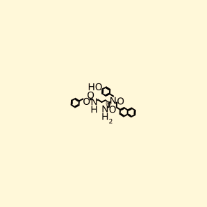 NC(=O)[C@@H](CCCNC(=O)OCc1ccccc1)N(Cc1ccc(O)cc1)C(=O)Cc1ccc2ccccc2c1